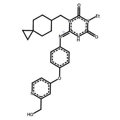 CCn1c(=O)[nH]/c(=N\c2ccc(Oc3ccnc(CO)c3)cc2)n(CC2CCC3(CC2)CC3)c1=O